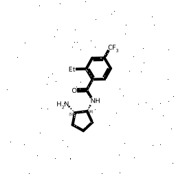 CCc1cc(C(F)(F)F)ccc1C(=O)N[C@@H]1CCC[C@@H]1N